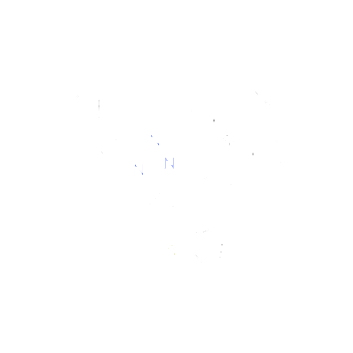 c1ccc([Si](c2ccccc2)(c2ccccc2)c2cccc(-c3nc(-c4ccc5ccccc5c4)nc(-c4ccc5sc6ccccc6c5c4)n3)c2)cc1